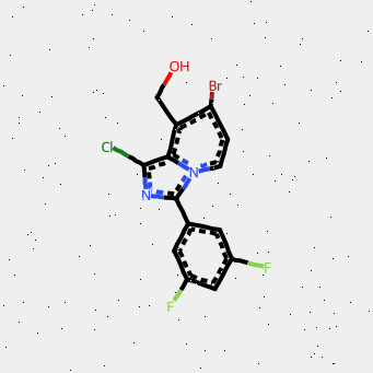 OCc1c(Br)ccn2c(-c3cc(F)cc(F)c3)nc(Cl)c12